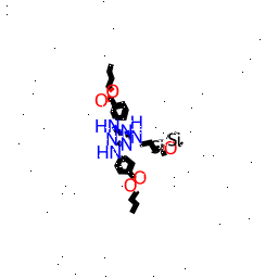 CCCCOC(=O)c1ccc(Nc2nc(NCCC[Si](C)(C)O[Si](C)(C)C)nc(Nc3cccc(C(=O)OCCCC)c3)n2)cc1